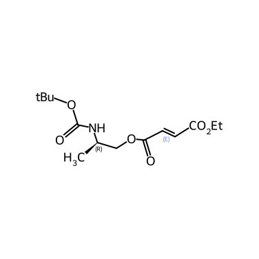 CCOC(=O)/C=C/C(=O)OC[C@@H](C)NC(=O)OC(C)(C)C